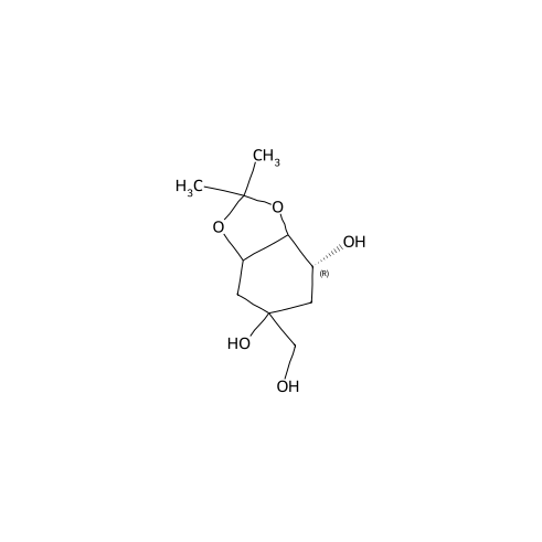 CC1(C)OC2CC(O)(CO)C[C@@H](O)C2O1